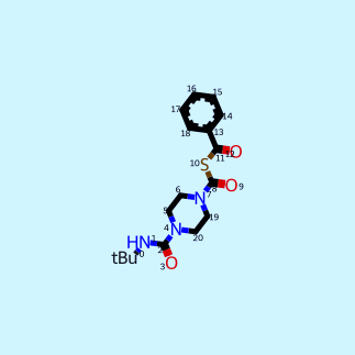 CC(C)(C)NC(=O)N1CCN(C(=O)SC(=O)c2ccccc2)CC1